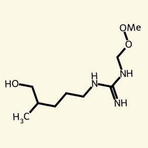 COOCNC(=N)NCCCC(C)CO